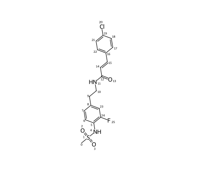 CS(=O)(=O)Nc1ccc(CCNC(=O)C=Cc2ccc(Cl)cc2)cc1F